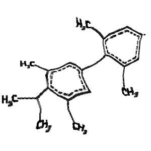 Cc1c[c]cc(C)c1-c1cc(C)c(C(C)C)c(C)c1